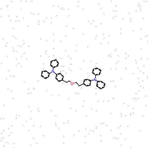 c1ccc(N(c2ccccc2)c2ccc(CCOCCc3ccc(N(c4ccccc4)c4ccccc4)cc3)cc2)cc1